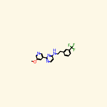 COc1cncc(-c2nccc(NCCc3cccc(C(F)(F)F)c3)n2)c1